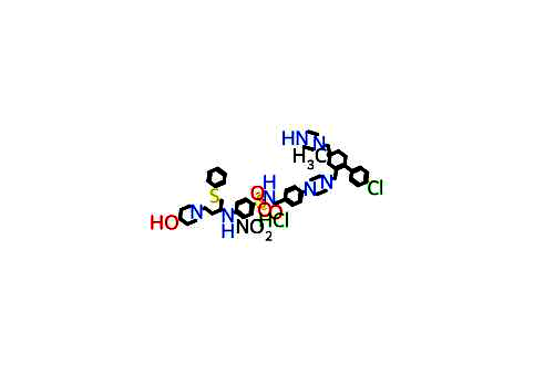 CC1(CN2CCNCC2)CCC(c2ccc(Cl)cc2)=C(CN2CCN(c3ccc(C(=O)NS(=O)(=O)c4ccc(NC(CCN5CCC(O)CC5)CSc5ccccc5)c([N+](=O)[O-])c4)cc3)CC2)C1.Cl